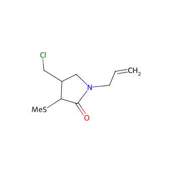 C=CCN1CC(CCl)C(SC)C1=O